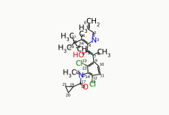 C=C\C=N/C(C(/O)=C(\C)c1ccc(Cl)c(N(C)C(=O)C2CC2)c1Cl)=C(\C)C(C)(C)C